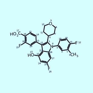 Cc1cc(-n2c(C3CCOCC3)c(-c3ccc(C(=O)O)c(F)c3)c3c(O)cc(F)cc32)ccc1F